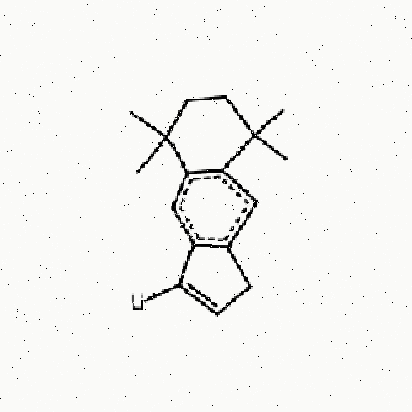 [Li][C]1=CCc2cc3c(cc21)C(C)(C)CCC3(C)C